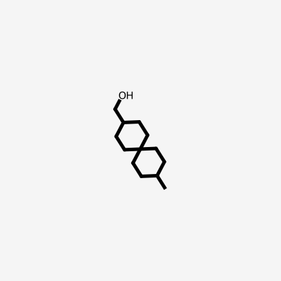 CC1CCC2(CC1)CCC(CO)CC2